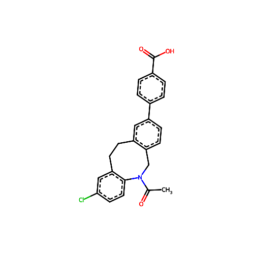 CC(=O)N1Cc2ccc(-c3ccc(C(=O)O)cc3)cc2CCc2cc(Cl)ccc21